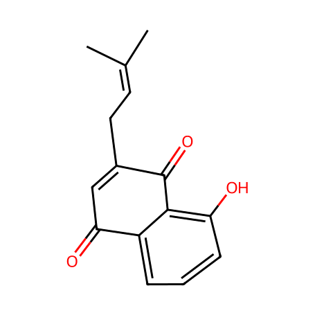 CC(C)=CCC1=CC(=O)c2cccc(O)c2C1=O